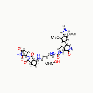 COc1cc(-c2cn(C)c(=O)c3c2CCN(C(=O)NCCCCCNc2cccc4c2C(=O)N(C2CCC(=O)NC2=O)C4=O)C3)cc(OC)c1CN(C)C.O=CO